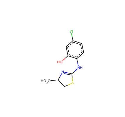 O=C(O)[C@@H]1CSC(Nc2ccc(Cl)cc2O)=N1